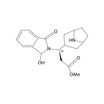 COC(=O)C[C@H](C1CC2CCC(C1)N2)N1C(=O)c2ccccc2C1O